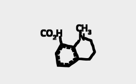 CN1CCCc2cccc(C(=O)O)c21